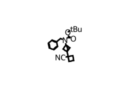 CC(C)(C)OC(=O)N(Cc1ccccc1)C12CC(C3(C#N)CCC3)(C1)C2